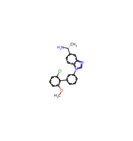 COc1cccc(Cl)c1-c1cccc(-n2cnc3cc([C@@H](C)N)ccc32)c1